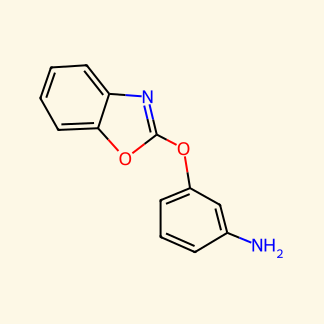 Nc1cccc(Oc2nc3ccccc3o2)c1